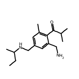 CCC(C)NCc1cc(C)c(C(=O)C(C)C)c(CN)c1